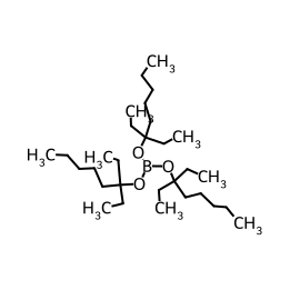 CCCCCC(CC)(CC)OB(OC(CC)(CC)CCCCC)OC(CC)(CC)CCCCC